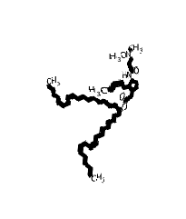 CC/C=C\CC1C(CC(=O)OC(CCCCCCCC/C=C\C/C=C\CCCCC)CCCCCCCC/C=C\C/C=C\CCCCC)CCC1NC(=O)CCN(C)C